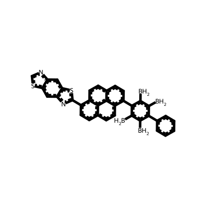 Bc1c(B)c(-c2ccc3ccc4c(-c5nc6cc7scnc7cc6s5)ccc5ccc2c3c54)c(B)c(B)c1-c1ccccc1